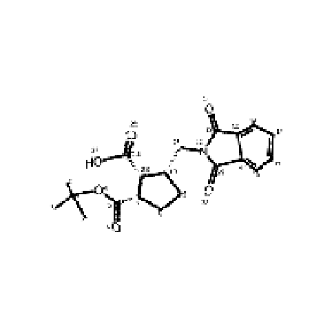 CC(C)(C)OC(=O)[C@H]1CC[C@@H](CN2C(=O)c3ccccc3C2=O)[C@H]1C(=O)O